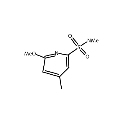 CNS(=O)(=O)c1cc(C)cc(OC)n1